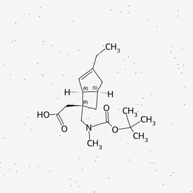 CCC1=C[C@H]2[C@@H](C1)C[C@]2(CC(=O)O)CN(C)C(=O)OC(C)(C)C